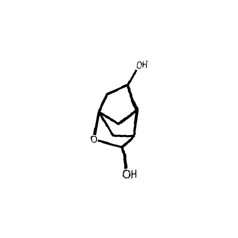 OC1CC23CC1C(C2)C(O)O3